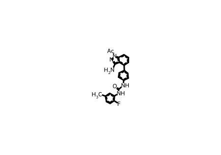 CC(=O)n1nc(N)c2c(-c3ccc(NC(=O)Nc4cc(C)ccc4F)cc3)cccc21